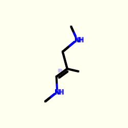 CN/C=C(\C)CNC